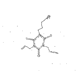 C=CCn1c(=O)n(CC=C)c(=O)n(CCCC(C)C)c1=O